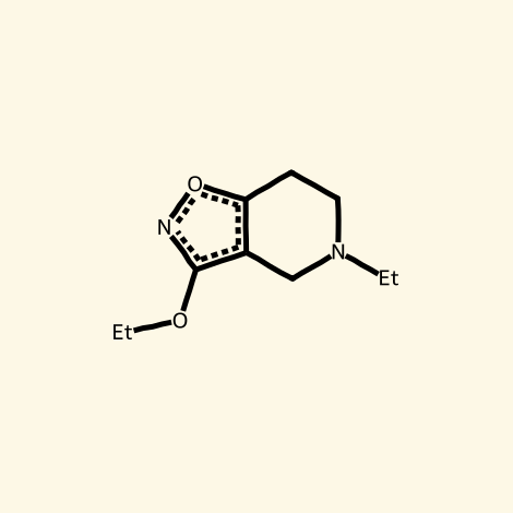 CCOc1noc2c1CN(CC)CC2